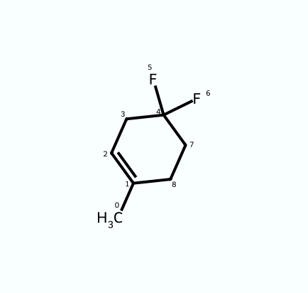 CC1=CCC(F)(F)CC1